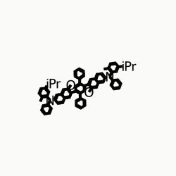 Cc1ccc(C(C)C)cc1N(c1ccccc1)c1ccc2cc3c(cc2c1)oc1c(-c2ccccc2)c2c(oc4cc5cc(N(c6ccccc6)c6cc(C(C)C)ccc6C)ccc5cc42)c(-c2ccccc2)c13